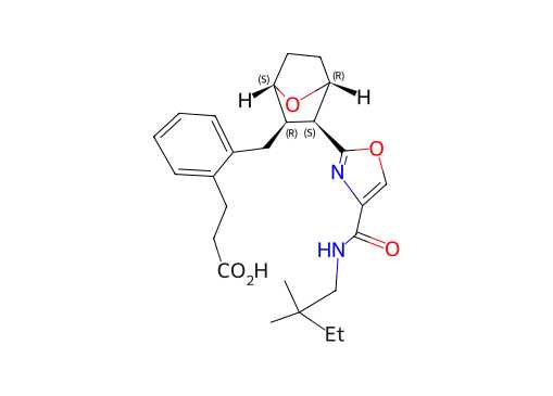 CCC(C)(C)CNC(=O)c1coc([C@H]2[C@@H](Cc3ccccc3CCC(=O)O)[C@@H]3CC[C@H]2O3)n1